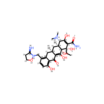 CC[C@]1(O)C(C(N)=O)=C(O)[C@@H](N(C)C)[C@@H]2C[C@@H]3Cc4c(CN5OCCC5=N)ccc(O)c4C(=O)C3=C(O)[C@@]21O